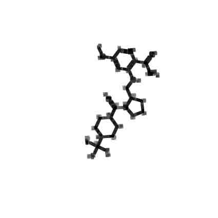 COc1cnc(C(N)=O)c(OCC2CCCN2C(=O)C2CCC(C(F)(F)F)CC2)c1